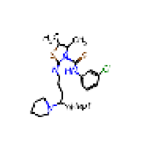 CCCCCCCC(CCC/N=C1/SC(C)C(C)N1C(=S)Nc1cccc(Cl)c1)N1CCCCC1